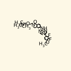 COc1ccc(-c2cnc3c(Nc4ccc5c(c4)CCN(CCOCC[N+](C)(C)C)C5=O)nccn23)c(F)c1F